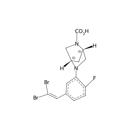 O=C(O)N1C[C@@H]2C[C@H]1CN2c1cc(C=C(Br)Br)ccc1F